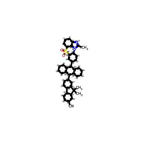 Cc1nc2cccc3c2n1-c1ccc(-c2c4ccccc4c(-c4ccc5c(c4)C(C)(C)c4cc(C#N)ccc4-5)c4ccccc24)cc1S3(=O)=O